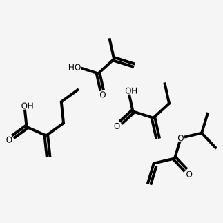 C=C(C)C(=O)O.C=C(CC)C(=O)O.C=C(CCC)C(=O)O.C=CC(=O)OC(C)C